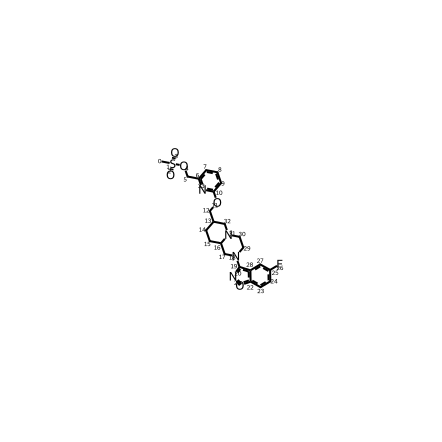 CS(=O)(=O)OCc1cccc(OCC2CCC3CN(c4noc5ccc(F)cc45)CCN3C2)n1